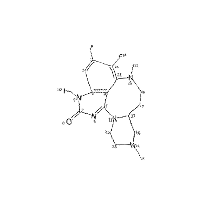 Cc1cc2c3c(nc(=O)n2I)N2CCN(C)CC2CCN(C)c3c1F